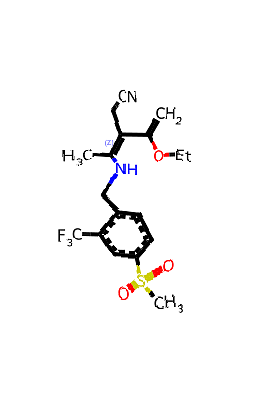 C=C(OCC)/C(CC#N)=C(/C)NCc1ccc(S(C)(=O)=O)cc1C(F)(F)F